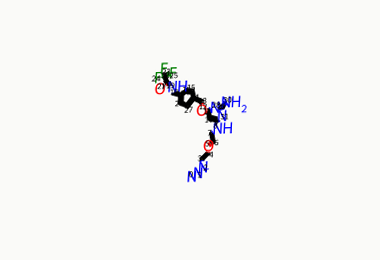 [N-]=[N+]=NCCOCCNc1cc(OCc2ccc(CNC(=O)C(F)(F)F)cc2)nc(N)n1